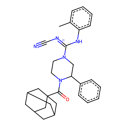 Cc1ccccc1N/C(=N/C#N)N1CCN(C(=O)C23CC4CC(CC(C4)C2)C3)C(c2ccccc2)C1